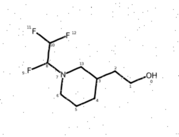 OCCC1CCCN(C(F)C(F)F)C1